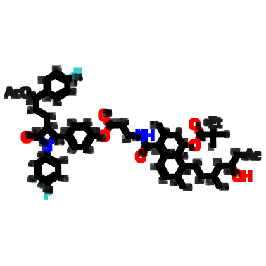 CCC(C)(C)C(=O)OC1CC(C)C(C(=O)NCCC(=O)Oc2ccc(C3C(CCC(OC(C)=O)c4ccc(F)cc4)C(=O)N3c3ccc(F)cc3)cc2)=C2C=CC(C)C(CCC(C)CC(O)CC(C)=O)C21